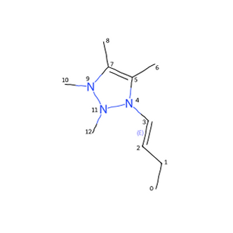 CC/C=C/N1C(C)=C(C)N(C)N1C